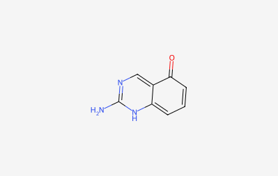 Nc1ncc2c(=O)cccc-2[nH]1